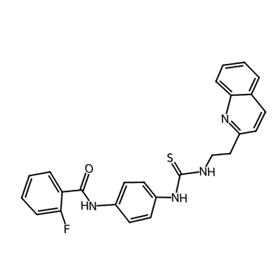 O=C(Nc1ccc(NC(=S)NCCc2ccc3ccccc3n2)cc1)c1ccccc1F